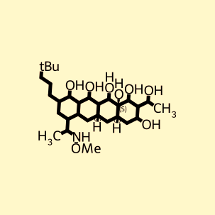 CONC(C)C1CC(CCCC(C)(C)C)C(O)C2C(O)C3C(O)[C@]4(O)C(O)C(C(C)O)C(O)C[C@@H]4C[C@@H]3CC12